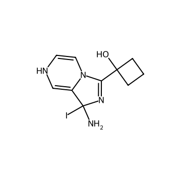 NC1(I)N=C(C2(O)CCC2)N2C=CNC=C21